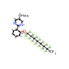 CCCCCCc1cnc(-c2ccccc2OC(F)(F)C(F)(F)C(F)(F)C(F)(F)C(F)(F)C(F)(F)C(F)(F)C(F)(F)F)nc1